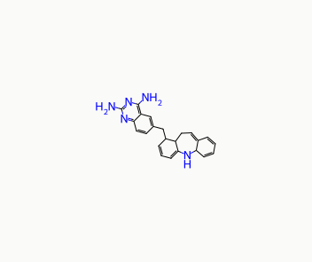 Nc1nc(N)c2cc(CC3C=CC=C4NC5C=CC=CC5=CCC43)ccc2n1